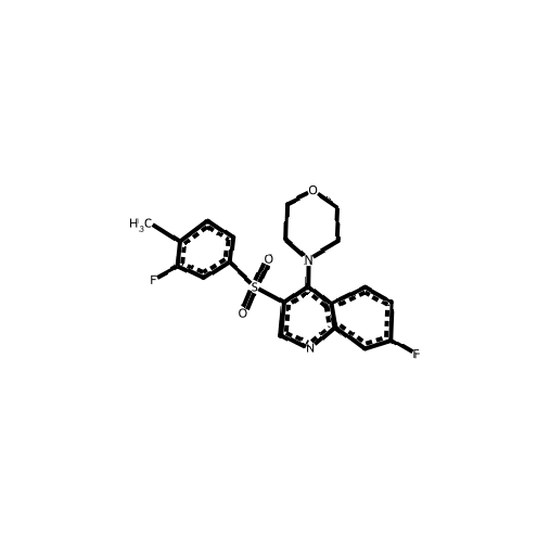 Cc1ccc(S(=O)(=O)c2cnc3cc(F)ccc3c2N2CCOCC2)cc1F